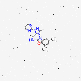 Cc1nc(C(C)Nc2nc3cc(C(F)(F)F)cc(C(F)(F)F)c3o2)n(-c2ncccn2)n1